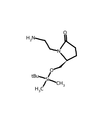 CC(C)(C)[Si](C)(C)OC[C@@H]1CCC(=O)N1CCN